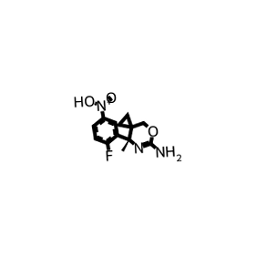 C[C@]1(c2cc([N+](=O)O)ccc2F)N=C(N)OCC12CC2